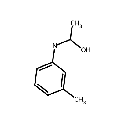 Cc1cccc([N]C(C)O)c1